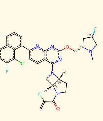 C=C(F)C(=O)N1CC[C@@H]2[C@H]1CN2c1nc(OC[C@@H]2C[C@@H](F)CN2C)nc2nc(-c3cccc4ccc(F)c(Cl)c34)ccc12